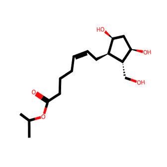 CC(C)OC(=O)CCC/C=C\C[C@@H]1[C@@H](CO)[C@H](O)C[C@@H]1O